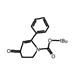 CC(C)(C)OC(=O)N1CCC(=O)C=C1c1ccccc1